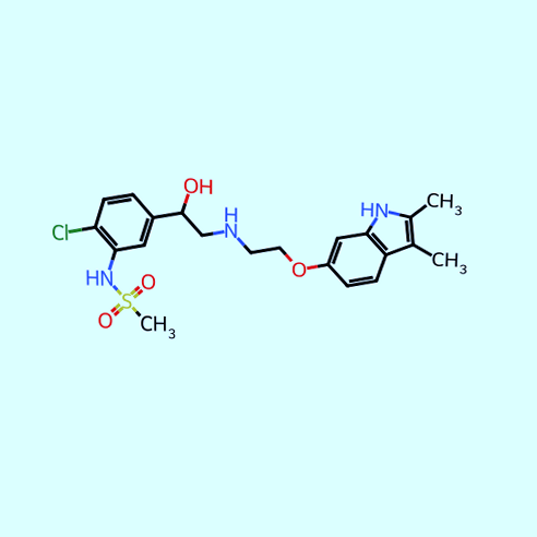 Cc1[nH]c2cc(OCCNCC(O)c3ccc(Cl)c(NS(C)(=O)=O)c3)ccc2c1C